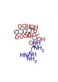 COc1cccc2c1C(=O)c1c(O)c3c(c(O)c1C2=O)C[C@@](O)(C(C)=O)C[C@@H]3OC1CC(NC(=O)[C@@H](N)CCCNC(=N)N)C(O)C(C)O1